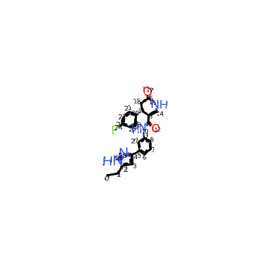 CCc1cc(-c2cccc(NC(=O)C3=CNC(=O)C[C@H]3c3ccc(F)cc3)c2)n[nH]1